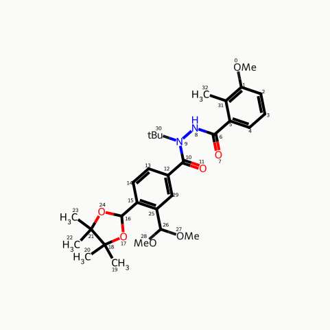 COc1cccc(C(=O)NN(C(=O)c2ccc(C3OC(C)(C)C(C)(C)O3)c(C(OC)OC)c2)C(C)(C)C)c1C